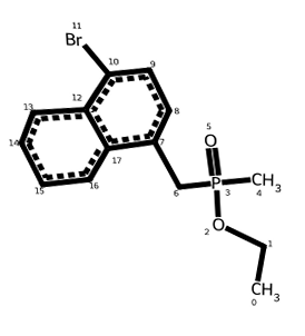 CCOP(C)(=O)Cc1ccc(Br)c2ccccc12